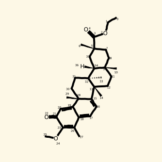 CCOC(=O)[C@]1(C)CC[C@]2(C)CC[C@]3(C)C4=CC=C5C(=CC(=O)C(OC)=C5C)[C@]4(C)CC[C@@]3(C)[C@@H]2C1